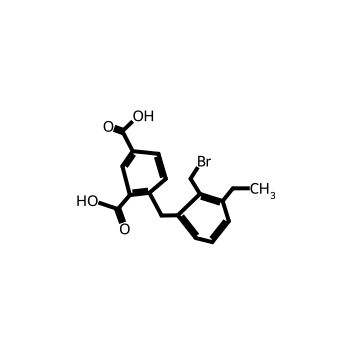 CCc1cccc(Cc2ccc(C(=O)O)cc2C(=O)O)c1CBr